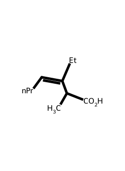 CCCC=C(CC)C(C)C(=O)O